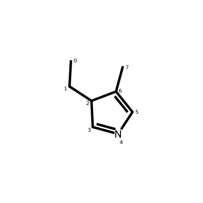 CCC1C=NC=C1C